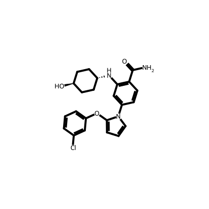 NC(=O)c1ccc(-n2cccc2Oc2cccc(Cl)c2)cc1N[C@H]1CC[C@H](O)CC1